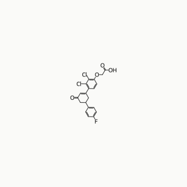 O=C(O)COc1ccc(C2=CC(=O)CC(c3ccc(F)cc3)C2)c(Cl)c1Cl